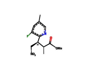 COC(=O)C(C)[C@@H](C[N+](=O)[O-])c1ncc(C)cc1F